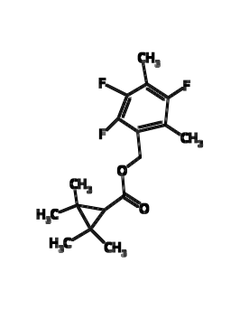 Cc1c(F)c(C)c(COC(=O)C2C(C)(C)C2(C)C)c(F)c1F